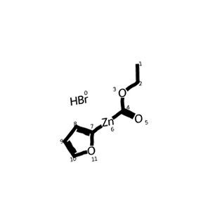 Br.CCO[C](=O)[Zn][c]1ccco1